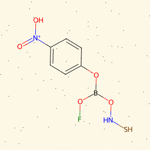 O=[N+](O)c1ccc(OB(OF)ONS)cc1